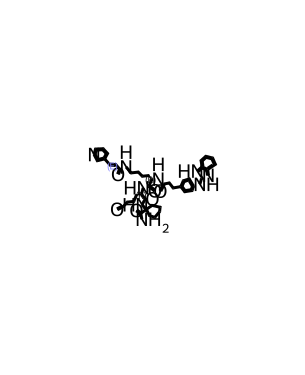 NC(=O)C1(NC(=O)[C@@H](CCCC=O)NC(=O)[C@@H](CCCCNC(=O)/C=C/c2cccnc2)NC(=O)CCc2ccc(Nc3nc4ccccc4[nH]3)cc2)CCCCC1